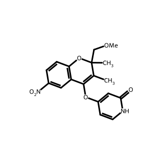 COCC1(C)Oc2ccc([N+](=O)[O-])cc2C(Oc2cc[nH]c(=O)c2)=C1C